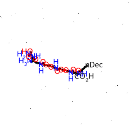 CCCCCCCCCCCCCCCC(=O)NC(CCC(=O)NCCOCCOCC(=O)NCCOCCOCC(=O)NCCCC[C@H](CN)C(=O)CN[C@@H](CO)C(N)=O)C(=O)O